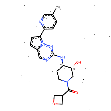 Cc1ccc(-c2ccc3cnc(N[C@@H]4CCN(C(=O)C5COC5)C[C@H]4O)nn23)nc1